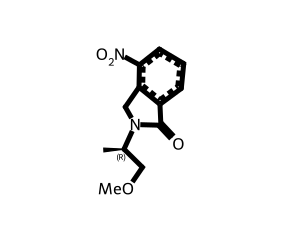 COC[C@@H](C)N1Cc2c(cccc2[N+](=O)[O-])C1=O